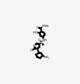 COC(=O)c1ccc(NS(=O)(=O)c2cnc(Cl)c(-c3cccc(N)c3)c2)cc1O